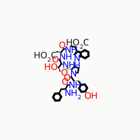 C[C@@H](O)[C@H](NC(=O)[C@@H]1CCCN1C(=O)[C@H](Cc1ccc(O)cc1)NC(=O)[C@@H](N)Cc1ccccc1)C(=O)N[C@@H](CC(=O)O)C(=O)N[C@@H](Cc1c[nH]c2ccccc12)C(=O)O